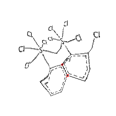 Clc1ccccc1S(Cl)(Cl)(Cl)(Cl)CS(Cl)(Cl)(Cl)(Cl)c1ccccc1Cl